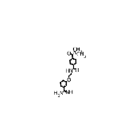 CN(C)C(=O)c1ccc(C(=O)NCCOc2cccc(C(=N)N)c2)cc1